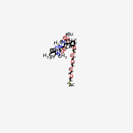 CCOC(=O)/C(C)=C/[C@H](C(C)C)N(C)C(=O)[C@@H](NC(=O)[C@@H](N(C)C(=O)OC(C)(C)C)C(C)(C)c1cccc(OCCOCCOCCOCCOCCSC(C)=O)c1)C(C)(C)C